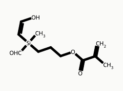 C=C(C)C(=O)OCCC[Si](C)(C=O)/C=C\O